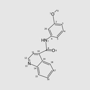 COc1cccc(NC(=O)c2ccnc3ccccc23)c1